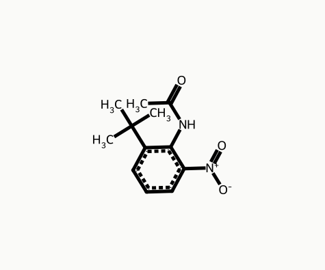 CC(=O)Nc1c([N+](=O)[O-])cccc1C(C)(C)C